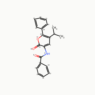 CC(C)c1cc(NC(=O)c2ccccc2)c(=O)oc1-c1ccccc1